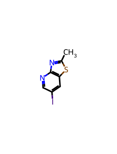 Cc1nc2ncc(I)cc2s1